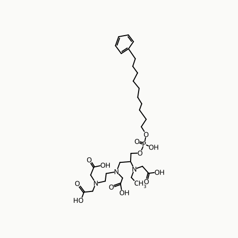 CCN(CC(=O)O)C(COP(=O)(O)OCCCCCCCCCCc1ccccc1)CN(CCN(CC(=O)O)CC(=O)O)CC(=O)O